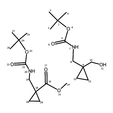 CC(C)(C)OC(=O)NCC1(CO)CC1.COC(=O)C1(CNC(=O)OC(C)(C)C)CC1